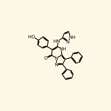 O=c1c(-c2ccc(O)cc2)c(Nc2cc[nH]n2)[nH]c2c(-c3ccccc3)c(-c3ccccc3)nn12